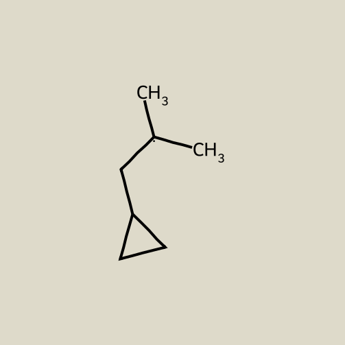 C[C](C)CC1CC1